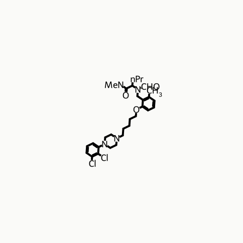 CCCC(C(=O)NC)N(C=O)Cc1c(C)cccc1OCCCCCN1CCN(c2cccc(Cl)c2Cl)CC1